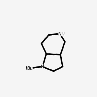 CC(C)(C)N1CCC2CNCCC21